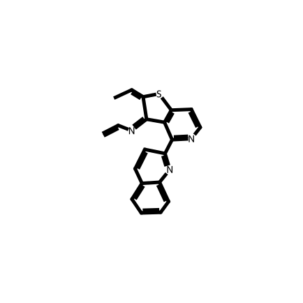 C=C/N=C1\C(=C/C)Sc2ccnc(-c3ccc4ccccc4n3)c21